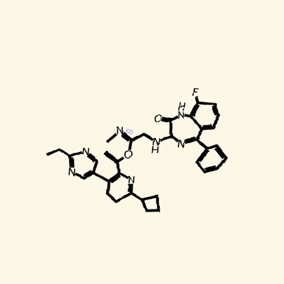 C=C(O/C(CNC1N=C(c2ccccc2)c2cccc(F)c2NC1=O)=N\C)C1=C(c2cnc(CC)nc2)CCC(C2CCC2)=N1